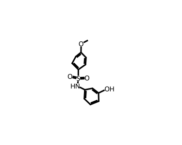 COc1ccc(S(=O)(=O)Nc2cccc(O)c2)cc1